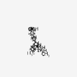 CCNC(=O)Nc1nc2cc(-c3cnc(N4CCC(CC)(C(=O)O)CC4)nc3)cc(-c3nccc(C)n3)c2s1